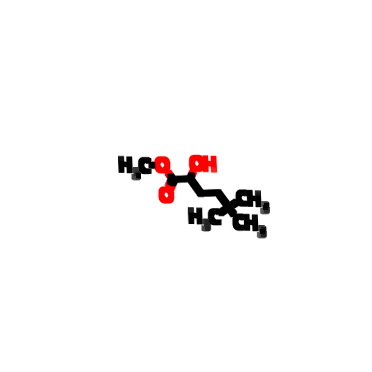 COC(=O)C(O)CCC(C)(C)C